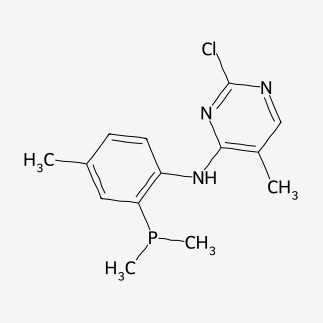 Cc1ccc(Nc2nc(Cl)ncc2C)c(P(C)C)c1